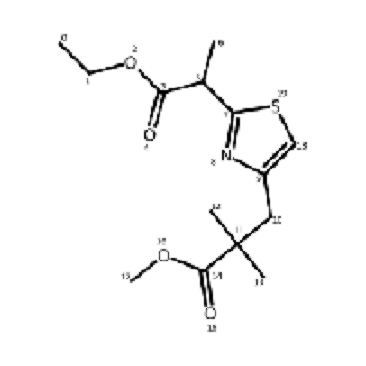 CCOC(=O)C(C)c1nc(CC(C)(C)C(=O)OC)cs1